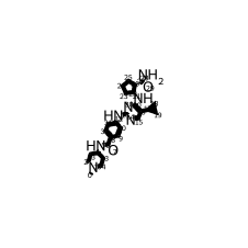 CN1CCC(NC(=O)c2ccc(Nc3ncc(C4CC4)c(N[C@@H]4CCC[C@@H]4C(N)=O)n3)cc2)CC1